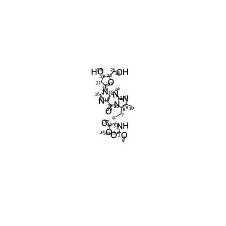 COC(=O)N[C@@H](CCc1c(C)nc2n(C)c3c(ncn3[C@H]3C[C@H](O)[C@@H](CO)O3)c(=O)n12)C(=O)OC